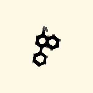 FC(F)(F)c1ccc(C2=CC=CC[CH]2)c2ccccc12